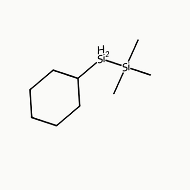 C[Si](C)(C)[SiH2]C1CCCCC1